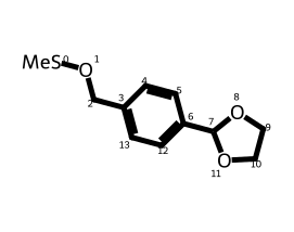 CSOCc1ccc(C2OCCO2)cc1